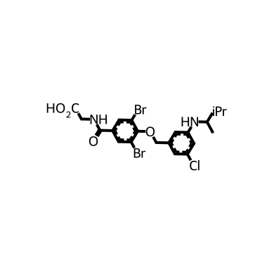 CC(C)C(C)Nc1cc(Cl)cc(COc2c(Br)cc(C(=O)NCC(=O)O)cc2Br)c1